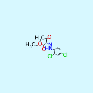 CCOC(=O)C(=NNc1ccc(Cl)cc1Cl)C(C)=O